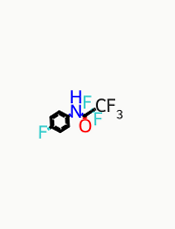 O=C(Nc1ccc(F)cc1)C(F)(F)C(F)(F)F